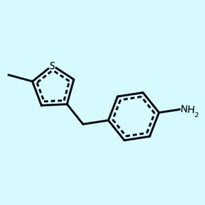 Cc1cc(Cc2ccc(N)cc2)cs1